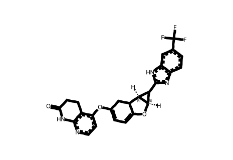 O=C1CCc2c(OC3=CC=C4O[C@@H]5C(c6nc7ccc(C(F)(F)F)cc7[nH]6)[C@@H]5C4C3)ccnc2N1